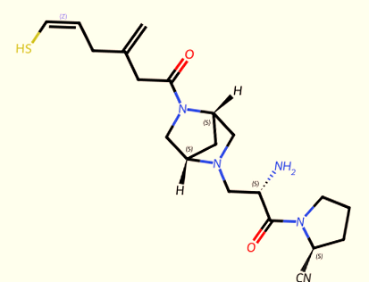 C=C(C/C=C\S)CC(=O)N1C[C@@H]2C[C@H]1CN2C[C@H](N)C(=O)N1CCC[C@H]1C#N